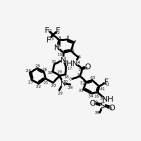 CC(C(=O)NCc1ccc(C(F)(F)F)nc1N1CCC(Cc2ccccc2)(N(C)C)CC1)c1ccc(NS(C)(=O)=O)c(F)c1